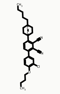 CCCCCC12CCC(c3ccc(-c4ccc(OCCCC)c(Cl)c4)c(C#N)c3C#N)(CC1)CC2